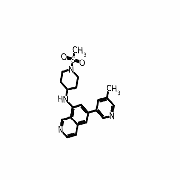 Cc1cncc(-c2cc(NC3CCN(S(C)(=O)=O)CC3)c3cnccc3c2)c1